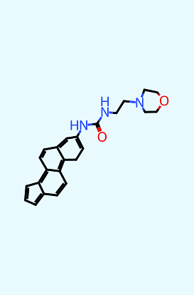 O=C(NCCN1CCOCC1)NC1=CCc2c(ccc3c4c(ccc23)=CC=C4)=C1